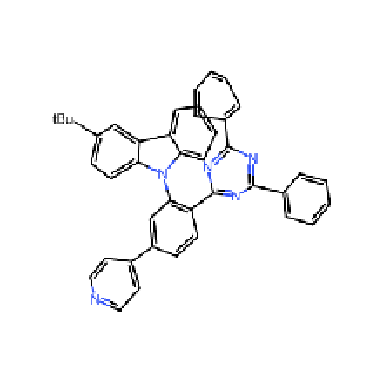 CC(C)(C)c1ccc2c(c1)c1ccccc1n2-c1cc(-c2ccncc2)ccc1-c1nc(-c2ccccc2)nc(-c2ccccc2)n1